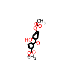 COC(=O)OC1=Cc2cc(C(=O)c3cccc(C(=O)OC)c3)c(O)cc21